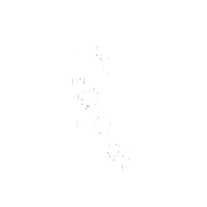 [2H]C([2H])([2H])n1cc(-c2ccc(-c3cnc(NC4CC(C)(C)NC(C)(C)C4)nn3)c(O)c2)cn1